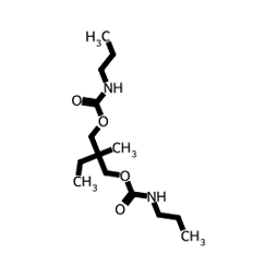 CCCNC(=O)OCC(C)(CC)COC(=O)NCCC